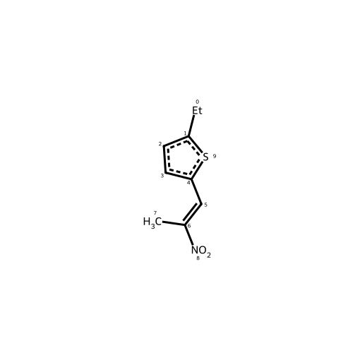 CCc1ccc(C=C(C)[N+](=O)[O-])s1